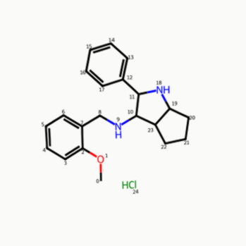 COc1ccccc1CNC1C(c2ccccc2)NC2CCCC21.Cl